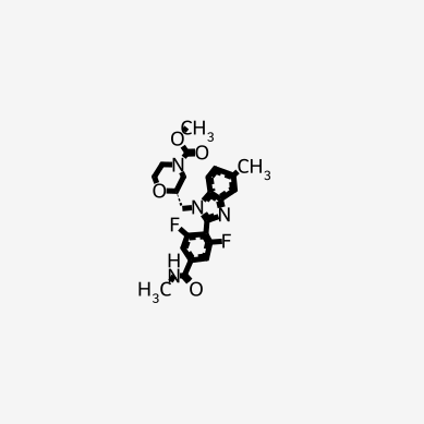 CNC(=O)c1cc(F)c(-c2nc3cc(C)ccc3n2C[C@H]2CN(C(=O)OC)CCO2)c(F)c1